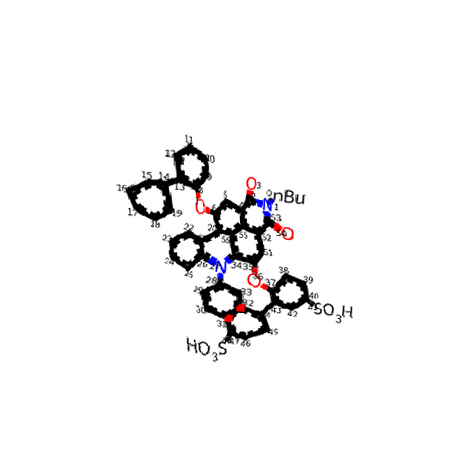 CCCCn1c(=O)c2cc(Oc3ccccc3-c3ccccc3)c3c4ccccc4n(-c4ccccc4)c4c(Oc5ccc(S(=O)(=O)O)cc5-c5ccc(S(=O)(=O)O)cc5)cc(c1=O)c2c34